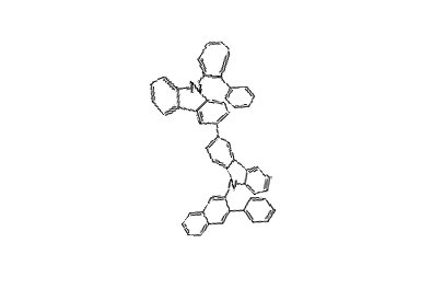 c1ccc(-c2ccccc2-n2c3ccccc3c3cc(-c4ccc5c(c4)c4ccccc4n5-c4cc5ccccc5cc4-c4ccccc4)ccc32)cc1